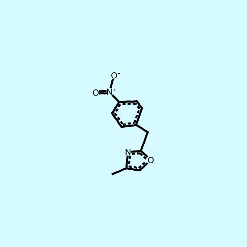 Cc1coc(Cc2ccc([N+](=O)[O-])cc2)n1